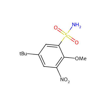 COc1c([N+](=O)[O-])cc(C(C)(C)C)cc1S(N)(=O)=O